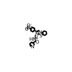 O=C(NN=CN1C(c2ccc([N+](=O)[O-])cc2)=CN2C3=C(CCCC3)SC12)c1cccnc1